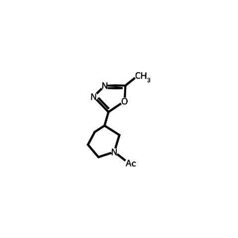 CC(=O)N1CCCC(c2nnc(C)o2)C1